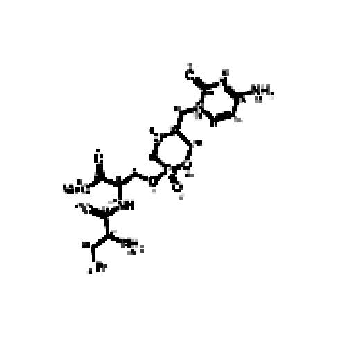 COC(=O)C(COP1(=O)CO[C@@H](Cn2ccc(N)nc2=O)CO1)NC(=O)C(N)CC(C)C